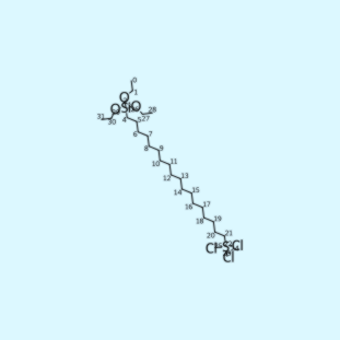 CCO[Si](CCCCCCCCCCCCCCCCCCS(Cl)(Cl)Cl)(OCC)OCC